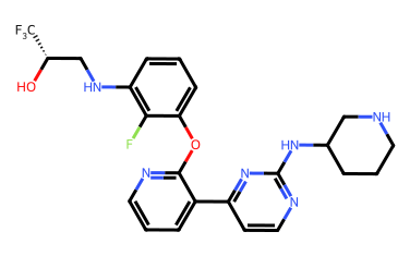 O[C@@H](CNc1cccc(Oc2ncccc2-c2ccnc(NC3CCCNC3)n2)c1F)C(F)(F)F